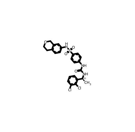 C[C@H](NC(=O)Nc1ccc(S(=O)(=O)Nc2ccc3c(c2)COCC3)cc1)c1cccc(Cl)c1Cl